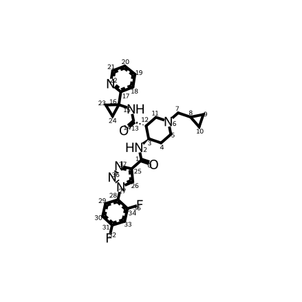 O=C(N[C@@H]1CCN(CC2CC2)C[C@H]1C(=O)NC1(c2ccccn2)CC1)c1cn(-c2ccc(F)cc2F)nn1